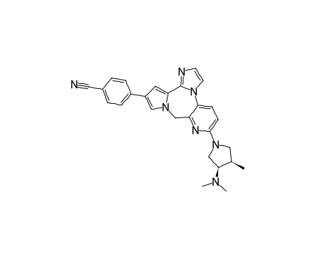 C[C@@H]1CN(c2ccc3c(n2)Cn2cc(-c4ccc(C#N)cc4)cc2-c2nccn2-3)C[C@@H]1N(C)C